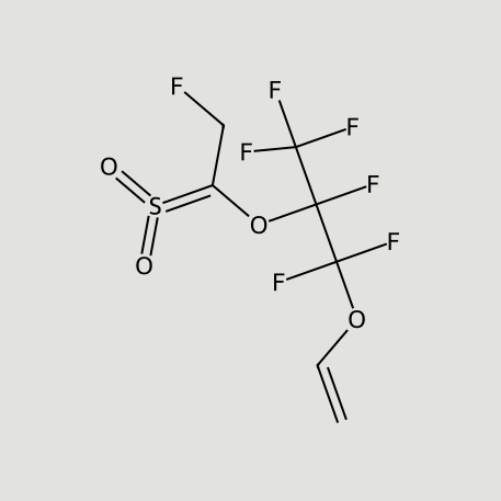 C=COC(F)(F)C(F)(OC(CF)=S(=O)=O)C(F)(F)F